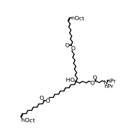 CCCCCCCC/C=C\CCCCCCCC(=O)OCCCCCCCCCCC(O)(CCCCCCCCCCOC(=O)CCCCCCC/C=C\CCCCCCCC)CCCCOC(=O)CCN(CCC)CCC